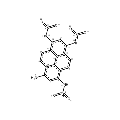 Nc1cc(N[SH](=O)=O)c2ccc3c(N[SH](=O)=O)cc(N[SH](=O)=O)c4ccc1c2c43